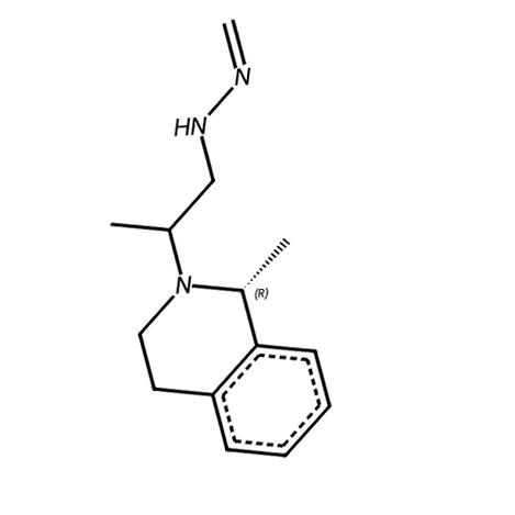 C=NNCC(C)N1CCc2ccccc2[C@H]1C